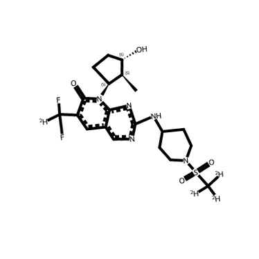 [2H]C(F)(F)c1cc2cnc(NC3CCN(S(=O)(=O)C([2H])([2H])[2H])CC3)nc2n([C@H]2CC[C@H](O)[C@H]2C)c1=O